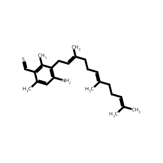 CC(C)=CCC/C(C)=C/CC/C(C)=C/Cc1c(N)cc(C)c(C=S)c1C